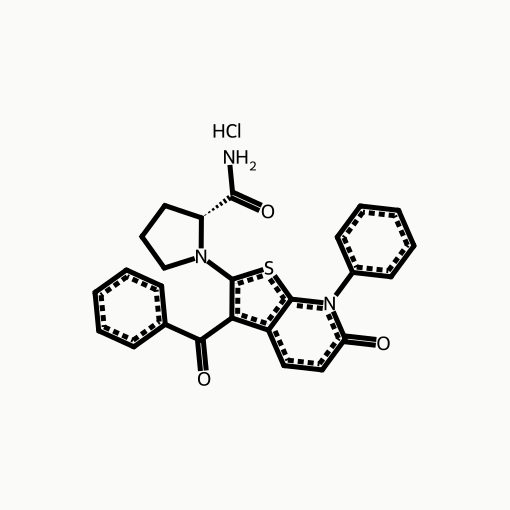 Cl.NC(=O)[C@H]1CCCN1c1sc2c(ccc(=O)n2-c2ccccc2)c1C(=O)c1ccccc1